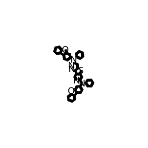 c1ccc(N(c2ccc3c(c2)oc2ccccc23)c2cc3sc4cc(N(c5ccccc5)c5ccc6c(c5)oc5ccccc56)nnc4c3cn2)cc1